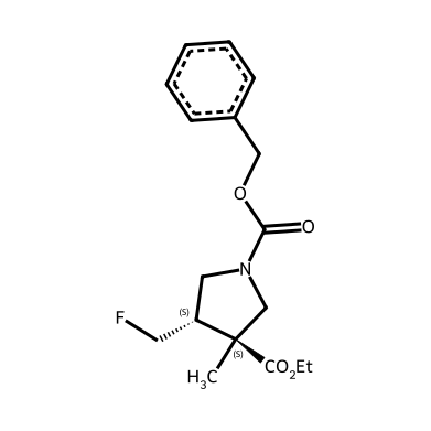 CCOC(=O)[C@]1(C)CN(C(=O)OCc2ccccc2)C[C@H]1CF